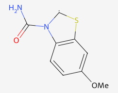 COc1ccc2c(c1)S[CH]N2C(N)=O